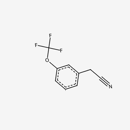 N#CCc1c[c]cc(OC(F)(F)F)c1